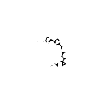 CC(C)(C)OC(=O)NC1(C(=O)CC(=O)NCc2nc(C3=N[C@H](C(=O)O)CS3)cs2)CC1